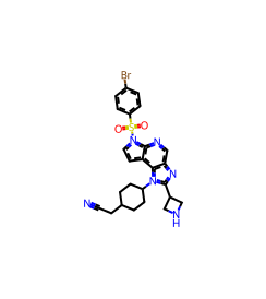 N#CCC1CCC(n2c(C3CNC3)nc3cnc4c(ccn4S(=O)(=O)c4ccc(Br)cc4)c32)CC1